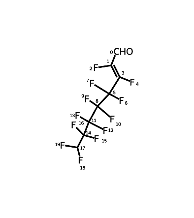 O=C/C(F)=C(\F)C(F)(F)C(F)(F)C(F)(F)C(F)(F)C(F)F